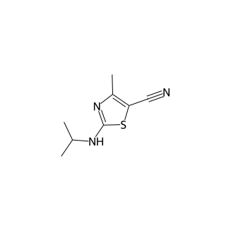 Cc1nc(NC(C)C)sc1C#N